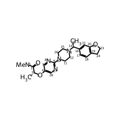 CNC(=O)[C@@H](C)Oc1cnc(N2CCN([C@@H](C)c3ccc4c(c3)OCC4)CC2)nc1